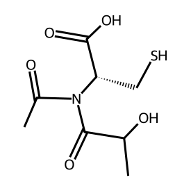 CC(=O)N(C(=O)C(C)O)[C@@H](CS)C(=O)O